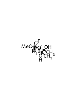 CC(C)(O)C(C)(C)O.COP(=O)(O)OF